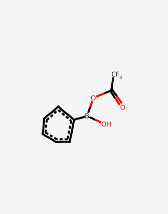 O=C(OB(O)c1ccccc1)C(F)(F)F